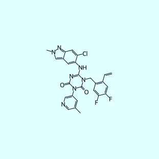 C=Cc1cc(F)c(F)cc1Cn1c(Nc2cc3cn(C)nc3cc2Cl)nc(=O)n(-c2cncc(C)c2)c1=O